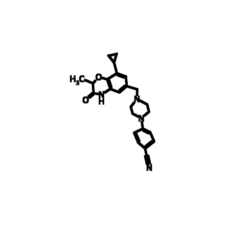 CC1Oc2c(cc(CN3CCN(c4ccc(C#N)cc4)CC3)cc2C2CC2)NC1=O